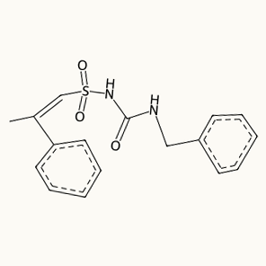 CC(=CS(=O)(=O)NC(=O)NCc1ccccc1)c1ccccc1